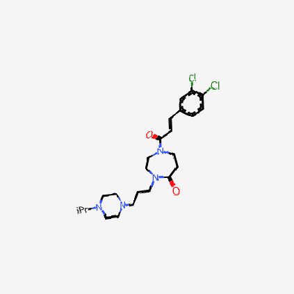 CC(C)N1CCN(CCCN2CCN(C(=O)C=Cc3ccc(Cl)c(Cl)c3)CCC2=O)CC1